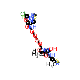 Cc1ncsc1-c1ccc(CNC(=O)[C@@H]2C[C@@H](O)CCC2C(=O)[C@@H](NC(=O)CCOCCOCCOCCOCCNC(=O)[C@]2(Cc3cccc(Nc4nccs4)n3)CC[C@@H](Oc3cccc(Cl)c3F)CC2)C(C)(C)C)cc1